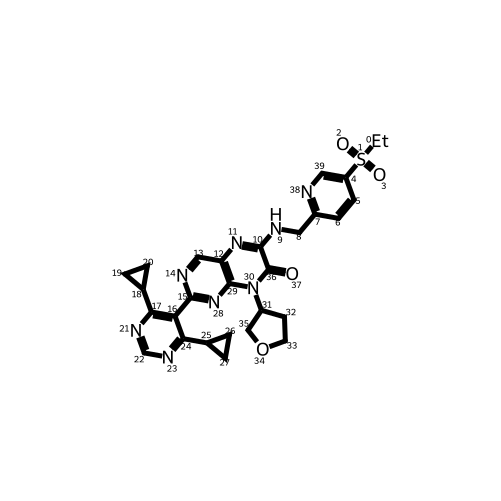 CCS(=O)(=O)c1ccc(CNc2nc3cnc(-c4c(C5CC5)ncnc4C4CC4)nc3n(C3CCOC3)c2=O)nc1